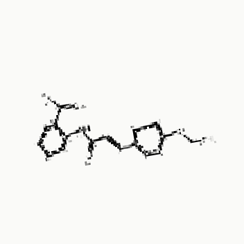 CCOc1ccc(C=CC(=O)Nc2ccccc2C(N)=O)cc1